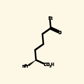 CCC[C@H](CCCC(=O)CC)C(=O)O